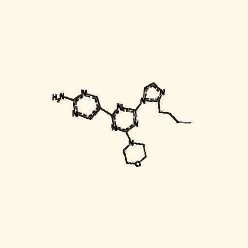 CCCCc1nccn1-c1nc(-c2cnc(N)nc2)nc(N2CCOCC2)n1